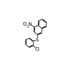 O=[N+]([O-])c1cc(Sc2ccccc2Cl)cc2ccccc12